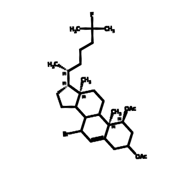 CC(=O)OC1CC2=CC(Br)C3C4CC[C@H]([C@H](C)CCCC(C)(C)F)[C@@]4(C)CCC3[C@@]2(C)[C@@H](OC(C)=O)C1